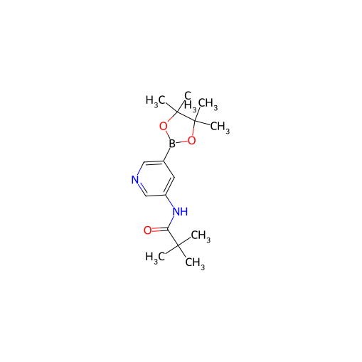 CC(C)(C)C(=O)Nc1cncc(B2OC(C)(C)C(C)(C)O2)c1